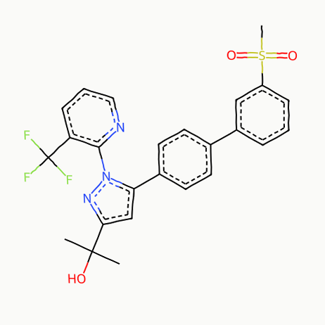 CC(C)(O)c1cc(-c2ccc(-c3cccc(S(C)(=O)=O)c3)cc2)n(-c2ncccc2C(F)(F)F)n1